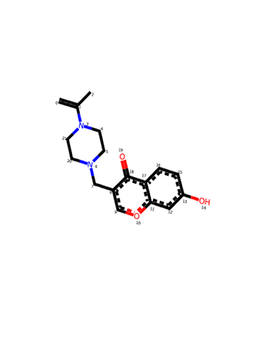 C=C(C)N1CCN(Cc2coc3cc(O)ccc3c2=O)CC1